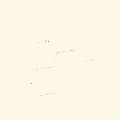 CCCCOC(=O)C(C(=O)OCCCC)=C1CCCCC1